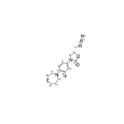 [N-]=[N+]=NC[C@H]1CN(c2ccc(N3CCCSCC3)c(F)c2)C(=O)O1